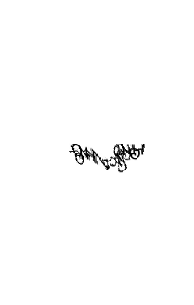 CC(C)(C)OC(=O)N1CC(N2Cc3cc4c(cc3C2)C(=O)N(C2CCC(=O)NC2=O)C4=O)C1